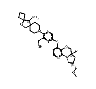 COC[C@H]1C[C@H]2COc3c(Sc4cnc(N5CCC6(CC5)COC5(CCC5)[C@H]6N)c(CO)n4)ccnc3N2C1